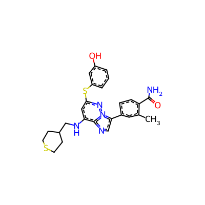 Cc1cc(-c2cnc3c(NCC4CCSCC4)cc(Sc4cccc(O)c4)nn23)ccc1C(N)=O